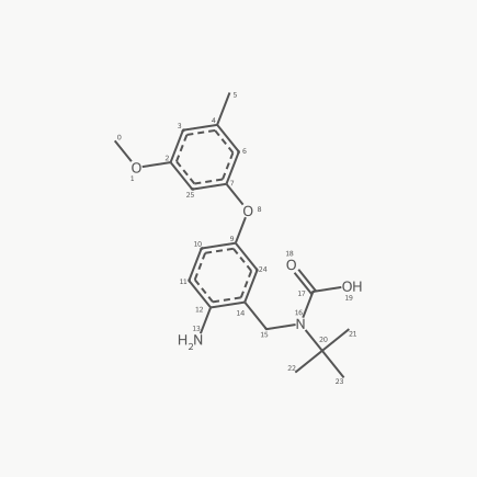 COc1cc(C)cc(Oc2ccc(N)c(CN(C(=O)O)C(C)(C)C)c2)c1